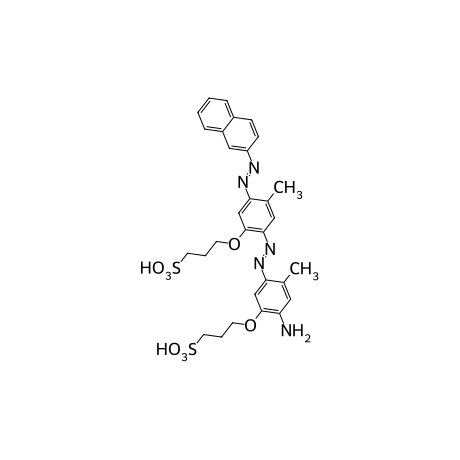 Cc1cc(N=Nc2cc(OCCCS(=O)(=O)O)c(N)cc2C)c(OCCCS(=O)(=O)O)cc1N=Nc1ccc2ccccc2c1